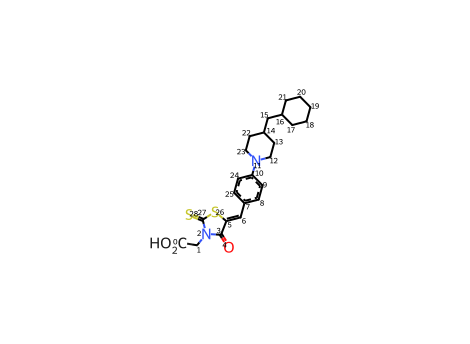 O=C(O)CN1C(=O)C(=Cc2ccc(N3CCC(CC4CCCCC4)CC3)cc2)SC1=S